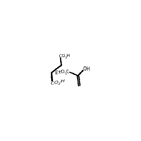 C=C(O)C(=O)OCC.O=C(O)CCC(=O)O